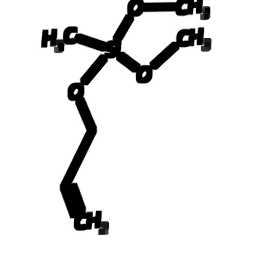 C=CCO[Si](C)(OC)OC